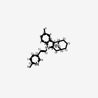 Cc1ccc2c(c1)c1c(n2C=Cc2ccc(C)nc2)CC2CCCC1N2